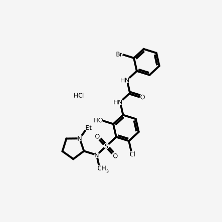 CCN1CCCC1N(C)S(=O)(=O)c1c(Cl)ccc(NC(=O)Nc2ccccc2Br)c1O.Cl